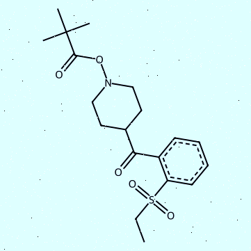 CCS(=O)(=O)c1ccccc1C(=O)C1CCN(OC(=O)C(C)(C)C)CC1